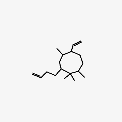 C=CCCC1CC(C)C(C=C)CCC(C)C1(C)C